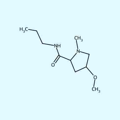 CCCNC(=O)C1CC(OC)CN1C